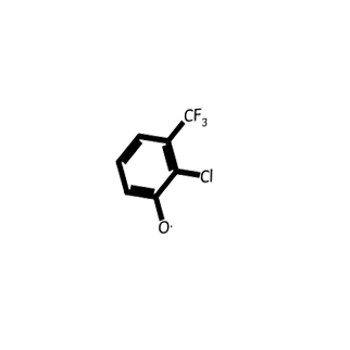 [O]c1cccc(C(F)(F)F)c1Cl